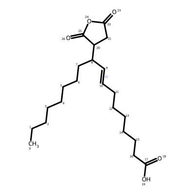 CCCCCCCCC(/C=C/CCCCCCC(=O)O)C1CC(=O)OC1=O